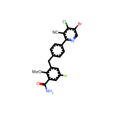 COc1c(Cc2ccc(-c3ncc(Br)c(Cl)c3C#N)cc2)cc(F)cc1C(N)=O